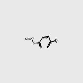 CC(=O)NSc1ccc([O])cc1